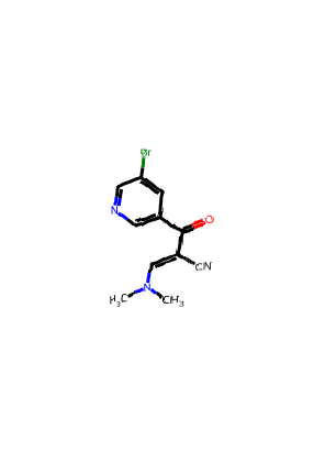 CN(C)C=C(C#N)C(=O)c1cncc(Br)c1